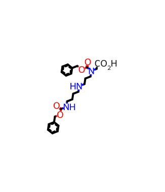 O=C(O)CN(CCCNCCCCNC(=O)OCc1ccccc1)C(=O)OCc1ccccc1